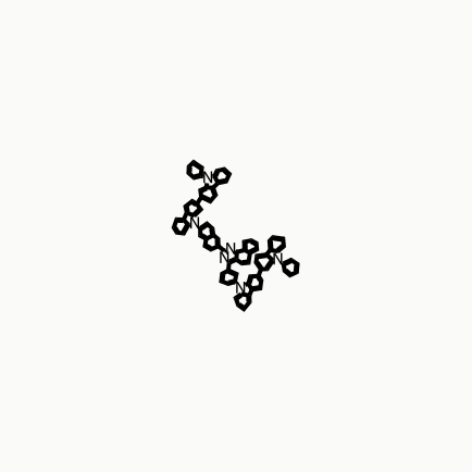 c1ccc(-n2c3ccccc3c3ccc(-c4ccc5c6ccccc6n(-c6cccc(-c7nc(-c8ccc9cc(-n%10c%11ccccc%11c%11ccc(-c%12ccc%13c%14ccccc%14n(-c%14ccccc%14)c%13c%12)cc%11%10)ccc9c8)nc8c7ccc7ccccc78)c6)c5c4)cc32)cc1